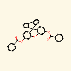 O=C(Oc1ccc2c(c1)Oc1cc(OC(=O)c3ccccc3)ccc1C21c2ccccc2-c2ccccc21)c1ccccc1